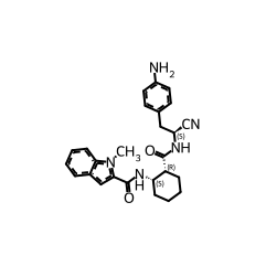 Cn1c(C(=O)N[C@H]2CCCC[C@H]2C(=O)N[C@H](C#N)Cc2ccc(N)cc2)cc2ccccc21